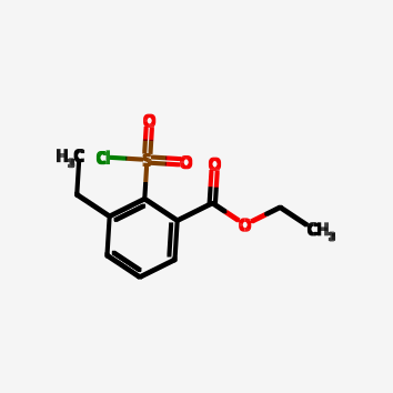 CCOC(=O)c1cccc(CC)c1S(=O)(=O)Cl